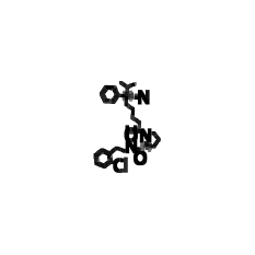 CC(C)[C@@](C#N)(CCCCC(=O)N1CCC[C@@H]1C(=O)NCCc1ccccc1Cl)c1ccccc1